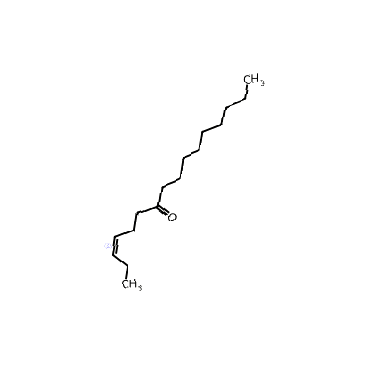 CC/C=C\CCC(=O)CCCCCCCCC